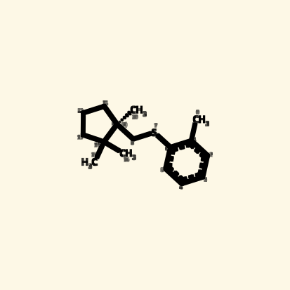 Cc1ccccc1SC[C@]1(C)CCCC1(C)C